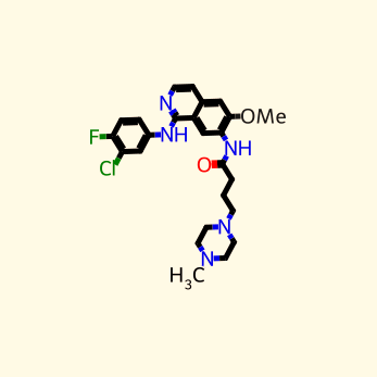 COc1cc2ccnc(Nc3ccc(F)c(Cl)c3)c2cc1NC(=O)CCCN1CCN(C)CC1